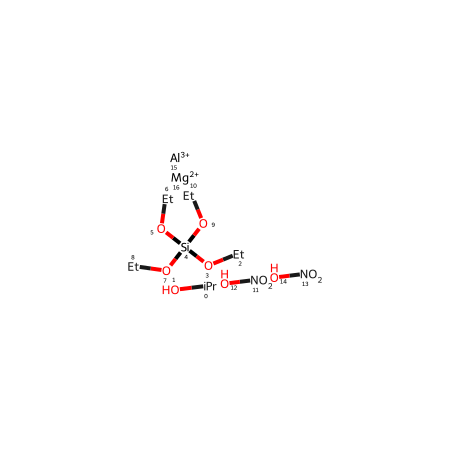 CC(C)O.CCO[Si](OCC)(OCC)OCC.O=[N+]([O-])O.O=[N+]([O-])O.[Al+3].[Mg+2]